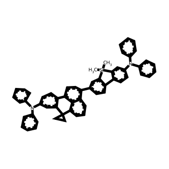 C[Si]1(C)c2cc(-c3ccc4c5c(cccc35)C3(CC3)c3cc(N(c5ccccc5)c5ccccc5)ccc3-4)ccc2-c2ccc(N(c3ccccc3)c3ccccc3)cc21